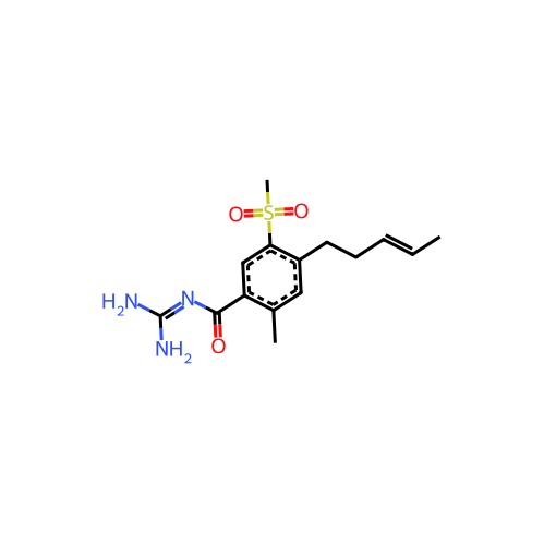 CC=CCCc1cc(C)c(C(=O)N=C(N)N)cc1S(C)(=O)=O